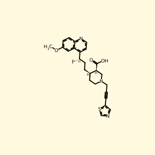 COc1ccc2nccc([C@@H](F)CC[C@@H]3CCN(CC#Cc4cncs4)C[C@@H]3C(=O)O)c2c1